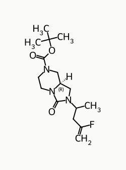 C=C(F)CC(C)N1C[C@@H]2CN(C(=O)OC(C)(C)C)CCN2C1=O